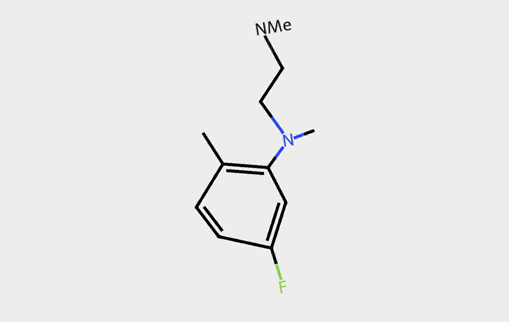 CNCCN(C)c1cc(F)ccc1C